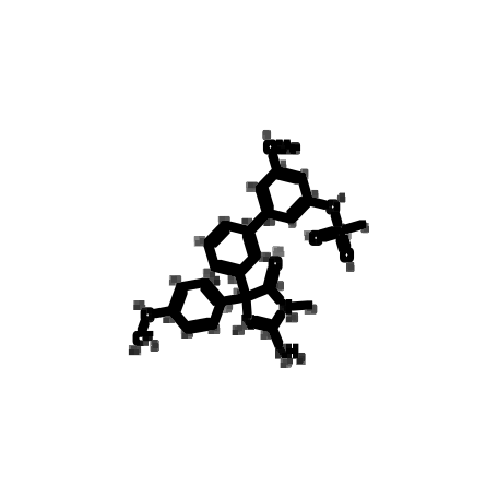 COc1cc(OS(C)(=O)=O)cc(-c2cccc(C3(c4ccc(OC(F)(F)F)cc4)N=C(N)N(C)C3=O)c2)c1